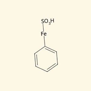 O=[S](=O)(O)[Fe][c]1ccccc1